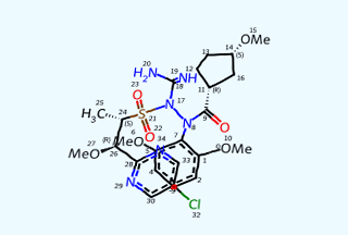 COc1cccc(OC)c1N(C(=O)[C@@H]1CC[C@H](OC)C1)N(C(=N)N)S(=O)(=O)[C@@H](C)[C@H](OC)c1ncc(Cl)cn1